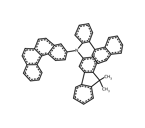 CC1(C)c2ccccc2-c2cc(N(c3ccc4c(ccc5ccc6ccccc6c54)c3)c3ccccc3-c3cccc4ccccc34)ccc21